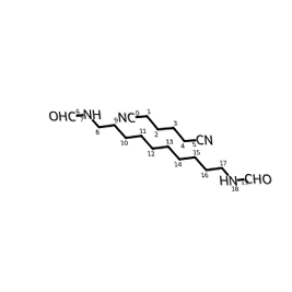 N#CCCCCC#N.O=CNCCCCCCCCCCNC=O